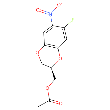 CC(=O)OC[C@H]1COc2cc([N+](=O)[O-])c(F)cc2O1